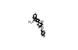 Cn1c2c(c3ccc(-n4ncc(OCc5ccc(F)cn5)cc4=O)cc31)C1CCCC(C2)N1